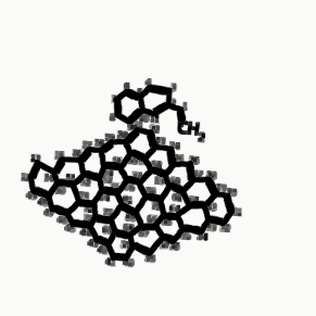 C=Cc1ccc2ccccc2c1.c1cc2cc3cc4cc5ccc6cc7cc8cc9cccc%10cc%11cc%12cc%13ccc%14cc%15cc%16cc(c1)c2c1c3c2c4c3c5c6c4c7c5c8c(c9%10)c%11c6c%12c7c%13c%14c8c%15c(c%161)c2c1c3c4c(c56)c7c81